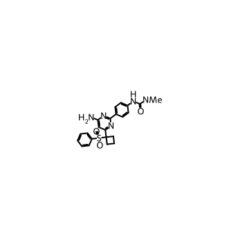 CNC(=O)Nc1ccc(-c2nc(N)cc(C3(S(=O)(=O)c4ccccc4)CCC3)n2)cc1